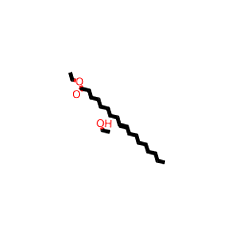 CCCCCCCCC=CCCCCCCCC(=O)OCC.CCO